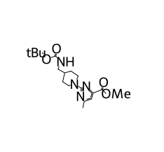 COC(=O)c1cc(C)nc(N2CCC(CNC(=O)OC(C)(C)C)CC2)n1